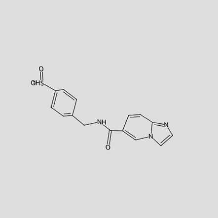 O=C(NCc1ccc([SH](=O)=O)cc1)c1ccc2nccn2c1